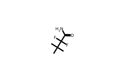 CC(C)(C)C(F)(F)C(N)=O